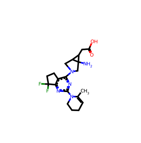 CC1=CCCCN1c1nc(N2CC3C(CC(=O)O)C3(N)C2)c2c(n1)C(F)(F)CC2